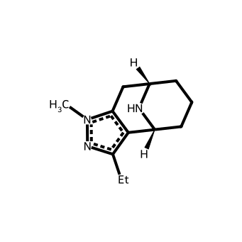 CCc1nn(C)c2c1[C@H]1CCC[C@@H](C2)N1